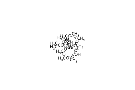 C=C(C)C(=O)O.CCOCC(O)COC(C)COC(C)COC(C)COC(C)COC(C)COC(C)COC(C)COC(C)COC(C)COC(C)COC(C)CO